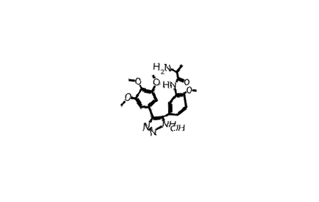 COc1ccc(-c2[nH]nnc2-c2cc(OC)c(OC)c(OC)c2)cc1NC(=O)C(C)N.Cl